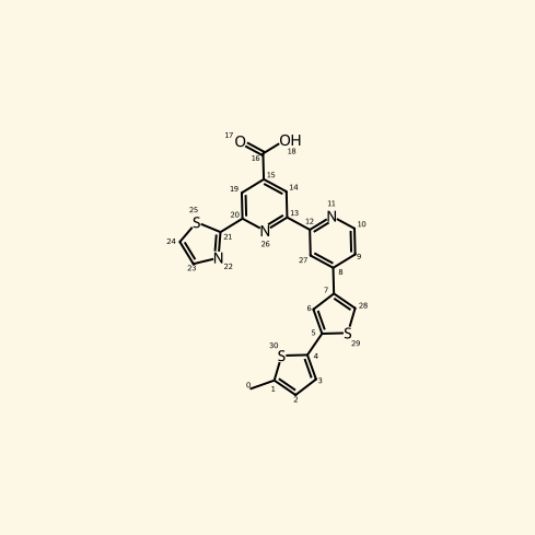 Cc1ccc(-c2cc(-c3ccnc(-c4cc(C(=O)O)cc(-c5nccs5)n4)c3)cs2)s1